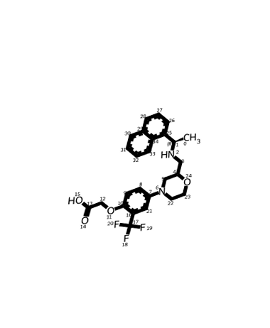 C[C@@H](NCC1CN(c2ccc(OCC(=O)O)c(C(F)(F)F)c2)CCO1)c1cccc2ccccc12